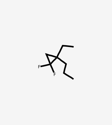 CCCC1(CC)CC1(F)F